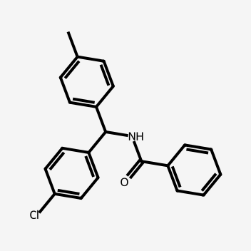 Cc1ccc(C(NC(=O)c2ccccc2)c2ccc(Cl)cc2)cc1